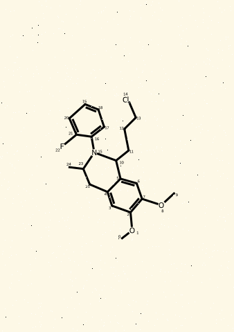 COc1cc2c(cc1OC)C(CCCCl)N(c1ccccc1F)C(C)C2